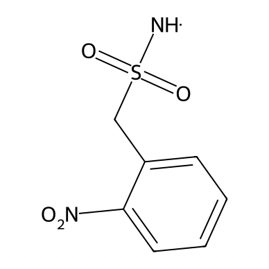 [NH]S(=O)(=O)Cc1ccccc1[N+](=O)[O-]